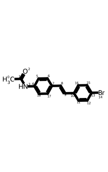 CC(=O)Nc1ccc(C=Cc2ccc(Br)cc2)cc1